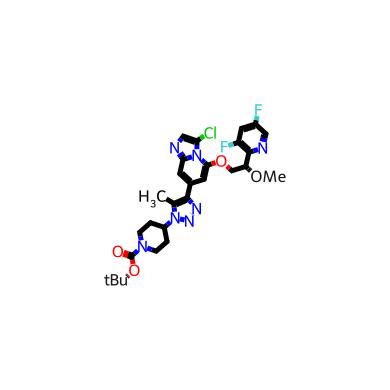 COC(COc1cc(-c2nnn(C3CCN(C(=O)OC(C)(C)C)CC3)c2C)cc2ncc(Cl)n12)c1ncc(F)cc1F